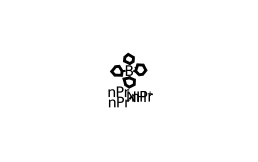 CCC[NH+](CCC)CCC.c1ccc([B-](c2ccccc2)(c2ccccc2)c2ccccc2)cc1